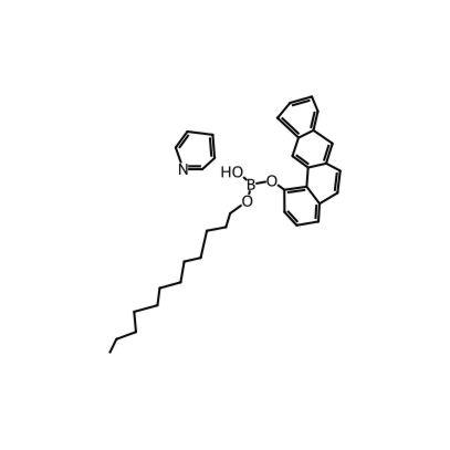 CCCCCCCCCCCCOB(O)Oc1cccc2ccc3cc4ccccc4cc3c12.c1ccncc1